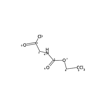 O=C(Cl)CNC(=O)OCC(Cl)(Cl)Cl